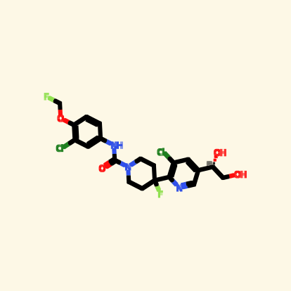 O=C(Nc1ccc(OCF)c(Cl)c1)N1CCC(F)(c2ncc([C@H](O)CO)cc2Cl)CC1